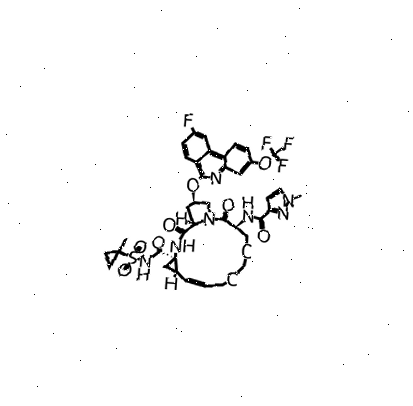 Cn1ccc(C(=O)N[C@H]2CCCCC/C=C\[C@@H]3C[C@@]3(C(=O)NS(=O)(=O)C3(C)CC3)NC(=O)[C@@H]3C[C@@H](Oc4nc5cc(OC(F)(F)F)ccc5c5cc(F)ccc45)CN3C2=O)n1